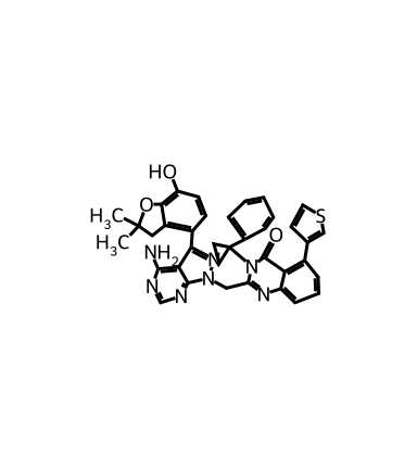 CC1(C)Cc2c(-c3nn(Cc4nc5cccc(-c6ccsc6)c5c(=O)n4C4(c5ccccc5)CC4)c4ncnc(N)c34)ccc(O)c2O1